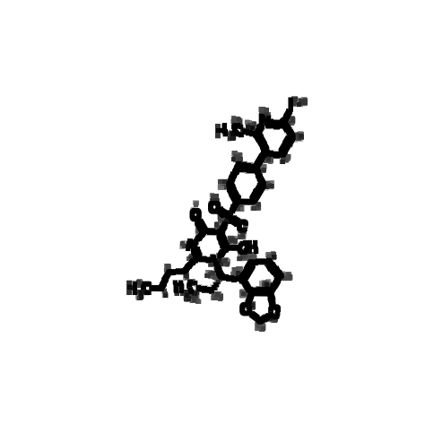 CCCCc1nc(=O)c(S(=O)(=O)c2ccc(-c3ccc(F)nc3C)cc2)c(O)n1[C@@H](CC)c1cccc2c1OCO2